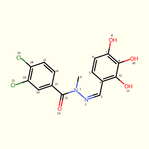 CN(/N=C\c1ccc(O)c(O)c1O)C(=O)c1ccc(Cl)c(Cl)c1